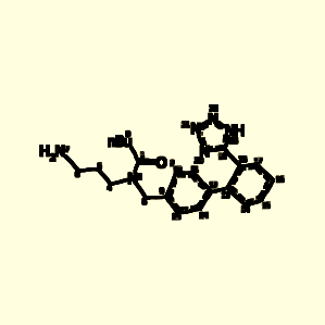 CCCCC(=O)N(CCCN)Cc1ccc(-c2ccccc2-c2nnn[nH]2)cc1